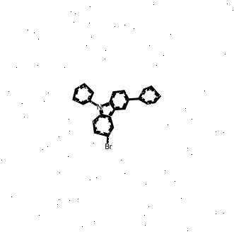 Brc1ccc2c(c1)c1cc(-c3ccccc3)ccc1n2-c1ccccc1